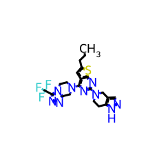 CCCc1cc2c(N3CCn4c(nnc4C(F)(F)F)C3)nc(N3CCc4[nH]ncc4C3)nc2s1